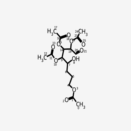 CC(=O)OCCCC(O)C(OC(C)=O)C(OC(C)=O)C(C=O)OC(C)=O